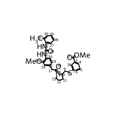 COC(=O)c1cccc(SCC2CCCN2C(=O)Cc2ccc(NC(=O)Nc3ccccc3C)c(OC)c2)c1